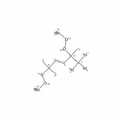 [2H]C([2H])([2H])C(C)(C=CC(C)(C)OOC(C)(C)C)OOC(C)(C)C